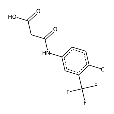 O=C(O)CC(=O)Nc1ccc(Cl)c(C(F)(F)F)c1